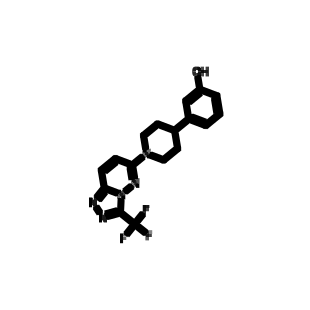 Oc1cccc(C2CCN(c3ccc4nnc(C(F)(F)F)n4n3)CC2)c1